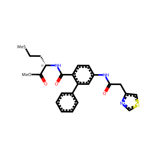 COC(=O)[C@H](CCSC)NC(=O)c1ccc(NC(=O)Cc2cscn2)cc1-c1ccccc1